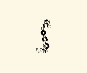 CCc1nccn1CCOc1ccc(N2CCN(C3=Nn4c(nnc4C(F)(F)F)CC3)CC2)cc1